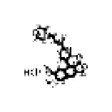 COc1cc2cc3c(c(-c4cnc(N(C)CCN5CCOCC5)nc4)c2cc1OC)C(=O)OC3.Cl